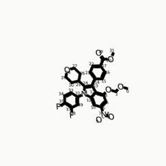 COCOc1cc([N+](=O)[O-])cc2c1c(-c1ccc(C(=O)OC)cc1)c(C1CCOCC1)n2-c1ccc(F)c(F)c1